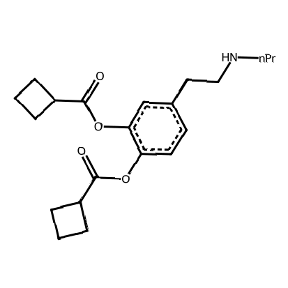 CCCNCCc1ccc(OC(=O)C2CCC2)c(OC(=O)C2CCC2)c1